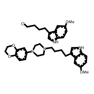 COc1ccc2[nH]cc(CCCCCl)c2c1.COc1ccc2[nH]cc(CCCCN3CCN(c4ccc5c(c4)OCCO5)CC3)c2c1